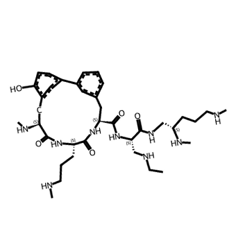 CCNC[C@H](NC(=O)[C@@H]1Cc2cccc(c2)-c2ccc(O)c(c2)C[C@H](NC)C(=O)N[C@@H](CCCNC)C(=O)N1)C(=O)NC[C@H](CCCNC)NC